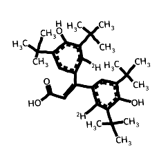 [2H]c1c(C(=CC(=O)O)c2cc(C(C)(C)C)c(O)c(C(C)(C)C)c2[2H])cc(C(C)(C)C)c(O)c1C(C)(C)C